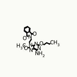 CCCCOc1nc(N)c2nc(OC)n(CCN3C(=O)c4ccccc4C3=O)c2n1